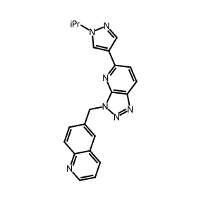 CC(C)n1cc(-c2ccc3nnn(Cc4ccc5ncccc5c4)c3n2)cn1